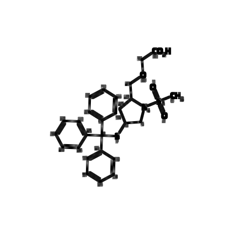 CS(=O)(=O)N1CC(SC(c2ccccc2)(c2ccccc2)c2ccccc2)CC1COCC(=O)O